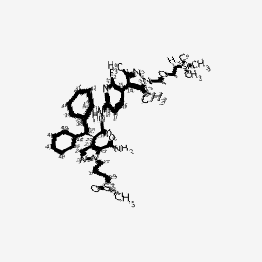 Cc1nn(COCC[Si](C)(C)C)c(C)c1-c1ccc(NC(=O)[C@H](c2cnn(CCC[S+](C)[O-])c2C(N)=O)C(C2CCCCC2)C2CCCCC2)nc1F